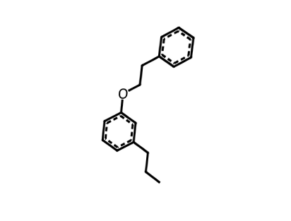 CCCc1cccc(OCCc2ccccc2)c1